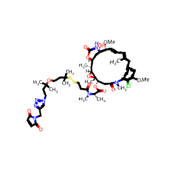 COc1cc2cc(c1Cl)N(C)C(=O)C[C@H](OC(=O)[C@H](C)N(C)C(=O)CCSSC(C)(C)CCOC(C)(C)CCn1cc(CN3C(=O)C=CC3=O)nn1)[C@]1(C)O[C@H]1[C@H](C)[C@@H]1C[C@@](O)(NC(=O)O1)[C@H](OC)/C=C/C=C(\C)C2